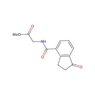 COC(=O)CNC(=O)c1cccc2c1CCC2=O